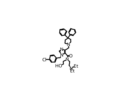 CCN(CC)CCN(CCO)C(=O)c1c(CN2CCC(c3ccccc3)(c3ccccc3)CC2)ncn1Cc1ccc(Cl)cc1